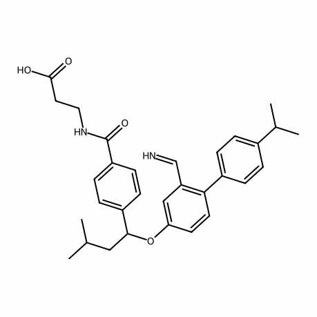 CC(C)CC(Oc1ccc(-c2ccc(C(C)C)cc2)c(C=N)c1)c1ccc(C(=O)NCCC(=O)O)cc1